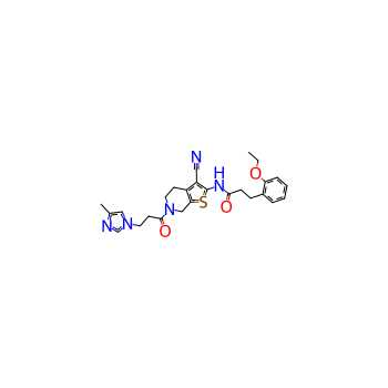 CCOc1ccccc1CCC(=O)Nc1sc2c(c1C#N)CCN(C(=O)CCn1cnc(C)c1)C2